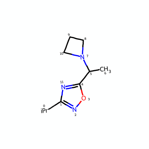 CC(C)c1noc(C(C)N2CCC2)n1